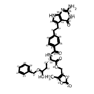 Cc1oc(=O)oc1COC(=O)[C@H](CCC(O)OCc1ccccc1)NC(=O)c1ccc(CCc2c[nH]c3nc(N)[nH]c(=O)c23)cc1